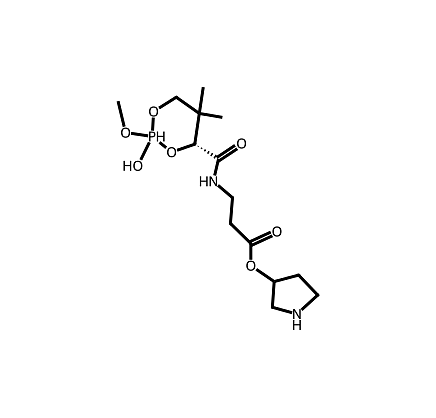 CO[PH]1(O)OCC(C)(C)[C@H](C(=O)NCCC(=O)OC2CCNC2)O1